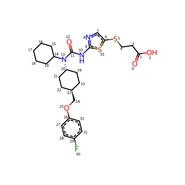 O=C(O)CCSc1cnc(NC(=O)N(C2CCCCC2)[C@H]2CC[C@H](COc3ccc(F)cc3)CC2)s1